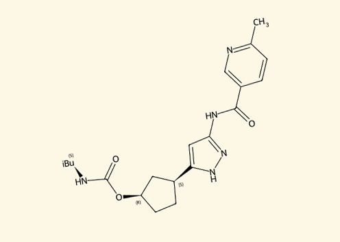 CC[C@H](C)NC(=O)O[C@@H]1CC[C@H](c2cc(NC(=O)c3ccc(C)nc3)n[nH]2)C1